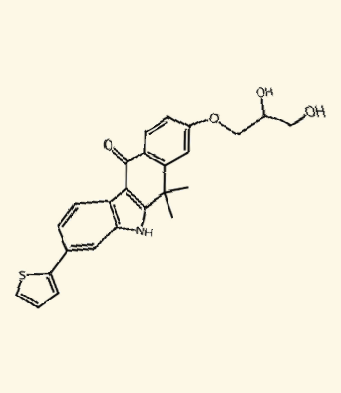 CC1(C)c2cc(OCC(O)CO)ccc2C(=O)c2c1[nH]c1cc(-c3cccs3)ccc21